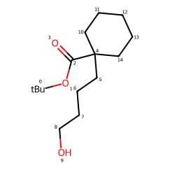 CC(C)(C)OC(=O)C1(CCCCO)CCCCC1